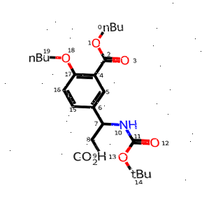 CCCCOC(=O)c1cc(C(CC(=O)O)NC(=O)OC(C)(C)C)ccc1OCCCC